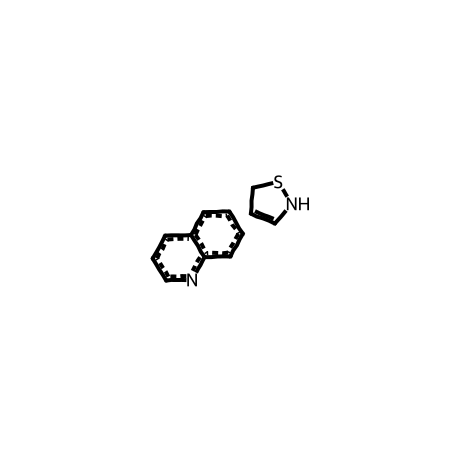 C1=CNSC1.c1ccc2ncccc2c1